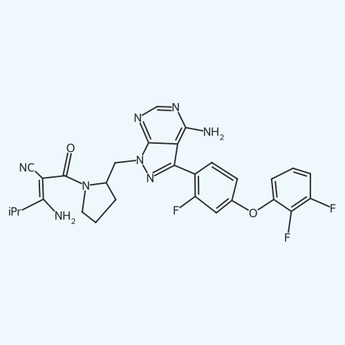 CC(C)C(N)=C(C#N)C(=O)N1CCCC1Cn1nc(-c2ccc(Oc3cccc(F)c3F)cc2F)c2c(N)ncnc21